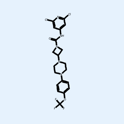 O=C(Nc1cc(Cl)nc(Cl)c1)N1CC(N2CCN(c3ccc(OC(F)(F)F)cc3)CC2)C1